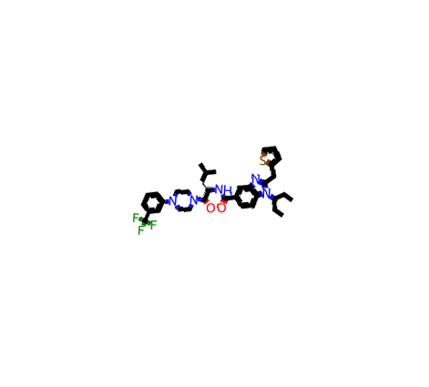 CCC(CC)n1c(Cc2cccs2)nc2cc(C(=O)N[C@@H](CC(C)C)C(=O)N3CCN(c4cccc(C(F)(F)F)c4)CC3)ccc21